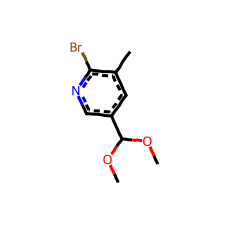 COC(OC)c1cnc(Br)c(C)c1